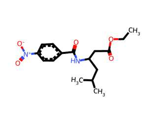 CCOC(=O)CC(CC(C)C)NC(=O)c1ccc([N+](=O)[O-])cc1